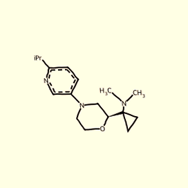 CC(C)c1ccc(N2CCO[C@H](C3(N(C)C)CC3)C2)cn1